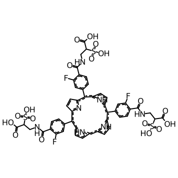 O=C(NCC(C(=O)O)S(=O)(=O)O)c1ccc(-c2c3nc(c(-c4ccc(C(=O)NCC(C(=O)O)S(=O)(=O)O)c(F)c4)c4ccc([nH]4)c4ccc([nH]4)c(-c4ccc(C(=O)NCC(C(=O)O)S(=O)(=O)O)c(F)c4)c4ccc2[nH]4)C=C3)cc1F